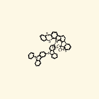 CC1(C)c2ccccc2-c2ccc3c4ccc5c(c4n(-c4ccc6c(c4)c4ccccc4n6-c4ccc6c(c4)c4ccccc4n6-c4ccccc4)c3c21)Sc1ccccc1S5